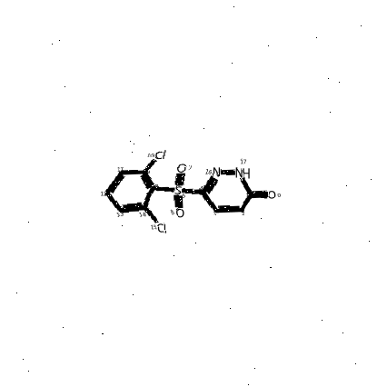 O=c1ccc(S(=O)(=O)c2c(Cl)cccc2Cl)n[nH]1